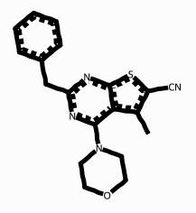 Cc1c(C#N)sc2nc(Cc3ccccc3)nc(N3CCOCC3)c12